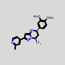 COc1ccc([C@H]2C[C@@H](C(F)(F)F)n3nc(-c4ccnc(C)c4)cc3N2)cc1OC